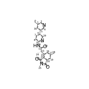 Cc1cncc(-c2ccc(NC(=O)[C@@H](C)c3cc(C)cc4c3C(=O)N(C)C4=O)nc2)c1